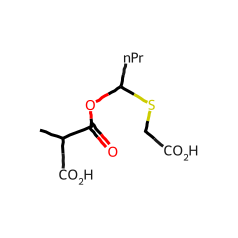 CCCC(OC(=O)C(C)C(=O)O)SCC(=O)O